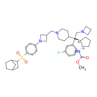 COC(=O)N[C@H]1CCC[C@@H]1C(CN1CCC1)(c1cccc(F)c1)C1CCN(CC2CN(c3ccc(S(=O)(=O)C4CC5CCC4C5)cc3)C2)CC1